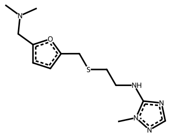 CN(C)Cc1ccc(CSCCNc2ncnn2C)o1